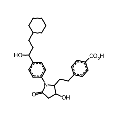 O=C(O)c1ccc(CCC2C(O)CC(=O)N2c2ccc(C(O)CCC3CCCCC3)cc2)cc1